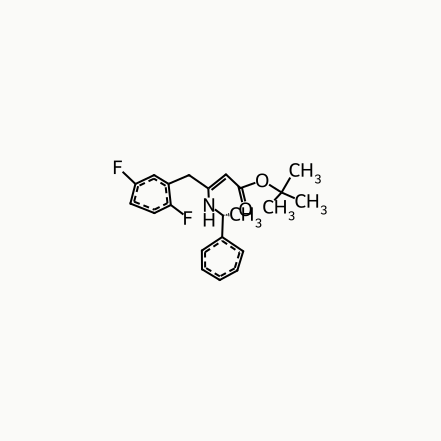 C[C@@H](N/C(=C\C(=O)OC(C)(C)C)Cc1cc(F)ccc1F)c1ccccc1